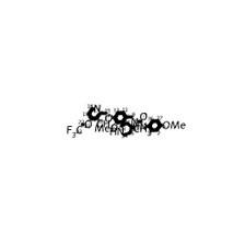 COc1ccc(NC(=O)N(Cc2ccc(OCc3nccc(OCC(F)(F)F)c3C)c(OC)c2)C2(C)CCNCC2)cc1